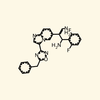 N/C=C(/c1ccc2ncc(-c3noc(Cc4ccccc4)n3)n2c1)C(N)c1c(F)cccc1F